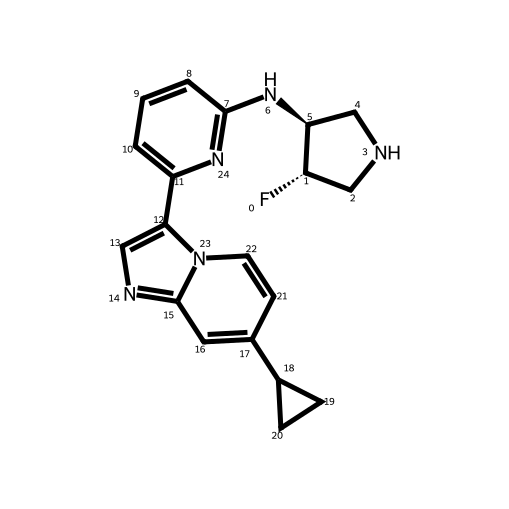 F[C@H]1CNC[C@@H]1Nc1cccc(-c2cnc3cc(C4CC4)ccn23)n1